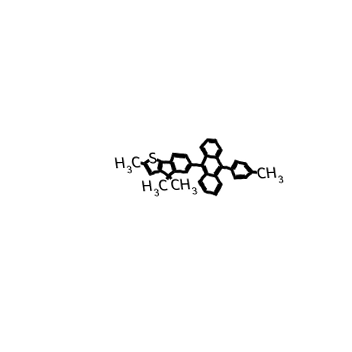 Cc1ccc(-c2c3ccccc3c(-c3ccc4c(c3)C(C)(C)c3cc(C)sc3-4)c3ccccc23)cc1